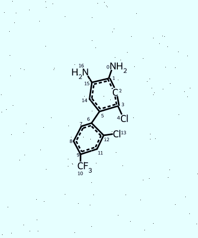 Nc1cc(Cl)c(-c2ccc(C(F)(F)F)cc2Cl)cc1N